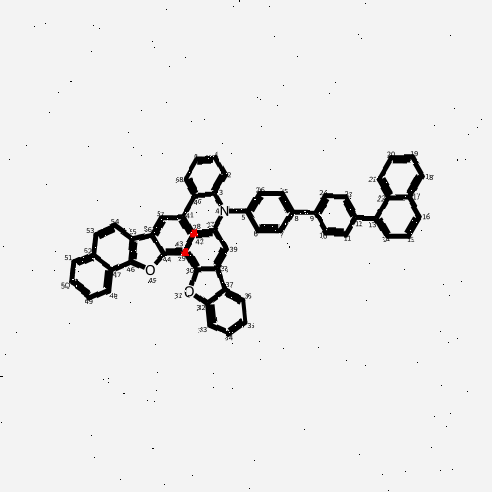 c1ccc(N(c2ccc(-c3ccc(-c4cccc5ccccc45)cc3)cc2)c2ccc3oc4ccccc4c3c2)c(-c2ccc3oc4c5ccccc5ccc4c3c2)c1